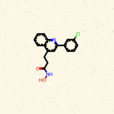 O=C(CCc1cc(-c2cccc(Cl)c2)nc2ccccc12)NO